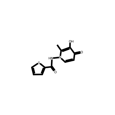 Cc1c(O)c(=O)ccn1NC(=O)c1cccs1